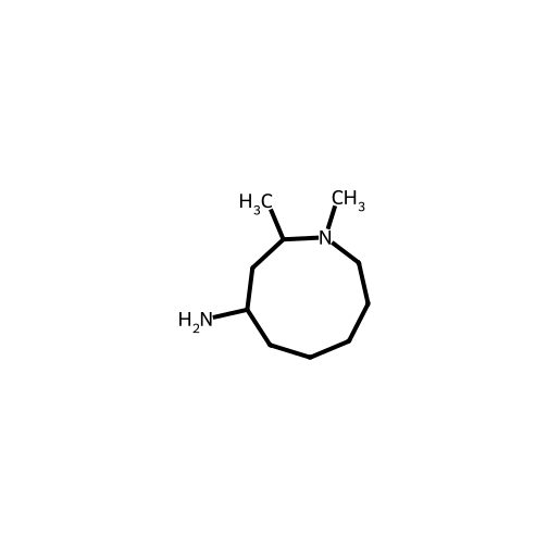 CC1CC(N)CCCCCN1C